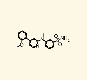 COc1ccccc1-c1ccnc(Nc2cccc(S(N)(=O)=O)c2)c1